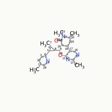 Cc1ccc(C2C(C)C2COc2nc(C)ncc2-c2cc(C)n(C)c(=O)c2)nc1